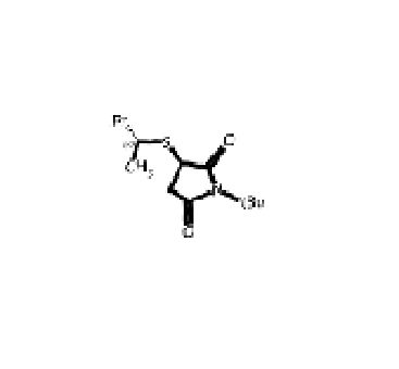 CC(C)[C@@H](C)SC1CC(=O)N(C(C)(C)C)C1=O